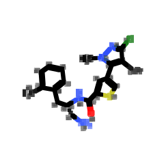 CCCc1c(Cl)nn(C)c1-c1csc(C(=O)N[C@H](CN)Cc2ccccc2C(F)(F)F)c1